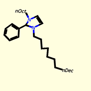 CCCCCCCCCCCCCCCCCN1C=CN(CCCCCCCC)C1c1ccccc1